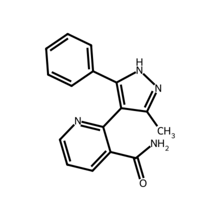 Cc1n[nH]c(-c2ccccc2)c1-c1ncccc1C(N)=O